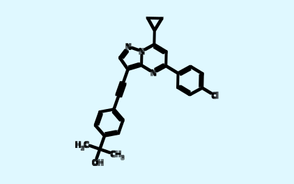 CC(C)(O)c1ccc(C#Cc2cnn3c(C4CC4)cc(-c4ccc(Cl)cc4)nc23)cc1